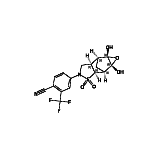 N#Cc1ccc(N2C[C@@H]3[C@@H]([C@H]4C[C@@H]3[C@]3(O)O[C@]43O)S2(=O)=O)cc1C(F)(F)F